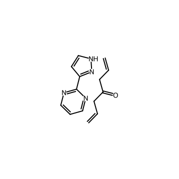 C=CCC(=O)CC=C.c1cnc(-c2cc[nH]n2)nc1